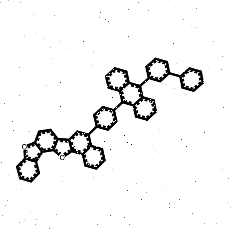 c1ccc(-c2cccc(-c3c4ccccc4c(-c4ccc(-c5cc6c7ccc8oc9ccccc9c8c7oc6c6ccccc56)cc4)c4ccccc34)c2)cc1